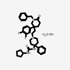 Cl.O.O=C(NC1CCCC1)NC1(c2ccccc2)CCN(CCC2(c3ccc(F)c(F)c3)CCC(=O)N(Cc3ccccc3)C2)CC1